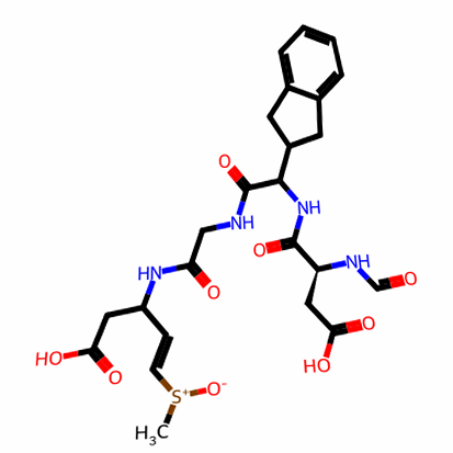 C[S+]([O-])/C=C/C(CC(=O)O)NC(=O)CNC(=O)C(NC(=O)[C@H](CC(=O)O)NC=O)C1Cc2ccccc2C1